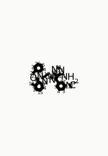 [C-]#[N+]c1cccc(-c2nn(Cc3nc4cccc(C)c4c(=O)n3-c3ccccc3C)c3ncnc(N)c23)c1